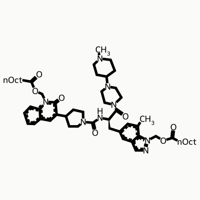 CCCCCCCCC(=O)OCn1ncc2cc(C[C@@H](NC(=O)N3CCC(c4cc5ccccc5n(COC(=O)CCCCCCCC)c4=O)CC3)C(=O)N3CCN(C4CCN(C)CC4)CC3)cc(C)c21